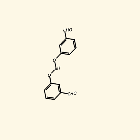 O=Cc1cccc(OBOc2cccc(C=O)c2)c1